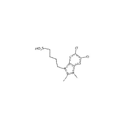 Cc1n(C)c2cc(Cl)c(Cl)cc2[n+]1CCCCS(=O)(=O)O